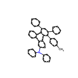 Cc1ccc(-c2c(-c3ccccc3)cc(-c3ccccc3)c3c4ccccc4c4cc(N(c5ccccc5)c5ccccc5)ccc4c23)cc1